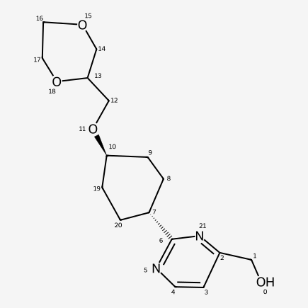 OCc1ccnc([C@H]2CC[C@H](OCC3COCCO3)CC2)n1